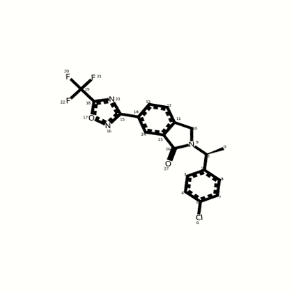 C[C@@H](c1ccc(Cl)cc1)N1Cc2ccc(-c3noc(C(F)(F)F)n3)cc2C1=O